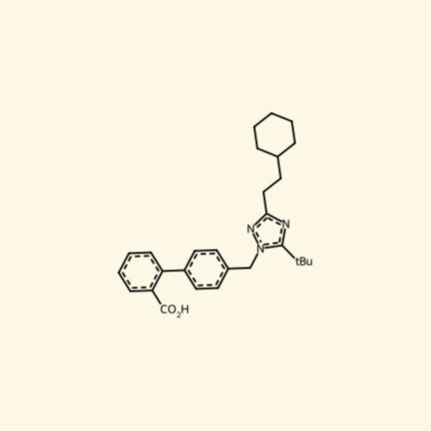 CC(C)(C)c1nc(CCC2CCCCC2)nn1Cc1ccc(-c2ccccc2C(=O)O)cc1